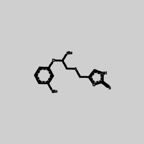 CC(C)(C)c1cccc(OC(CSCc2c[nH]c(=S)o2)C(C)(C)C)c1